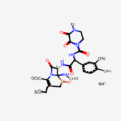 CCN1CCN(C(=O)NC(C(=O)N[C@H]2C(=O)N3C(C(=O)[O-])=C(COC(C)=O)C[S+]([O-])C23NC=O)c2ccc(OC(C)=O)c(OC(C)=O)c2)C(=O)C1=O.[Na+]